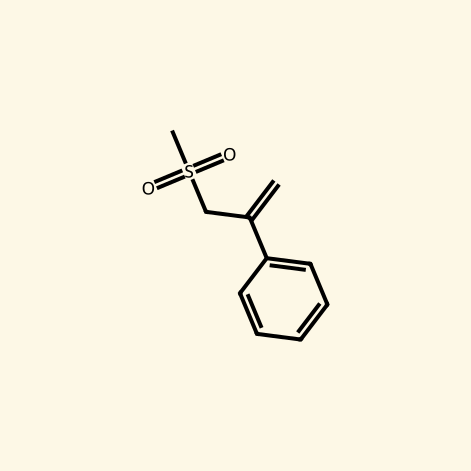 C=C(CS(C)(=O)=O)c1ccccc1